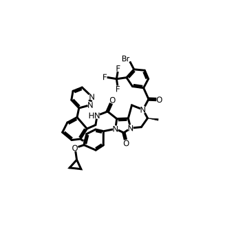 C[C@H]1Cn2c(c(C(=O)NCc3c(F)cccc3-c3cccnn3)n(-c3ccc(OC4CC4)cc3)c2=O)CN1C(=O)c1ccc(Br)c(C(F)(F)F)c1